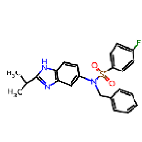 CC(C)c1nc2cc(N(Cc3ccccc3)S(=O)(=O)c3ccc(F)cc3)ccc2[nH]1